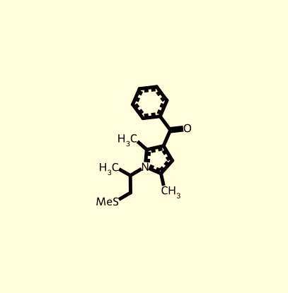 CSCC(C)n1c(C)cc(C(=O)c2ccccc2)c1C